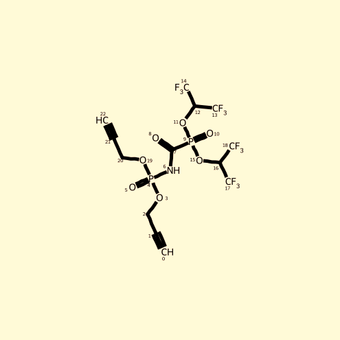 C#CCOP(=O)(NC(=O)P(=O)(OC(C(F)(F)F)C(F)(F)F)OC(C(F)(F)F)C(F)(F)F)OCC#C